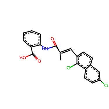 CC(=Cc1ccc2cc(Cl)ccc2c1Cl)C(=O)Nc1ccccc1C(=O)O